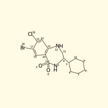 O=S1(=O)NC(C2CCCCC2)CNc2cc(Cl)c(Br)cc21